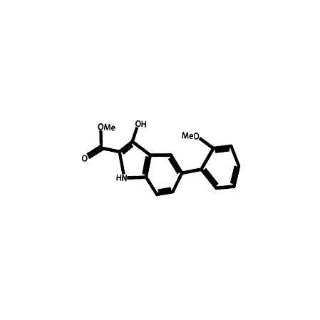 COC(=O)c1[nH]c2ccc(-c3ccccc3OC)cc2c1O